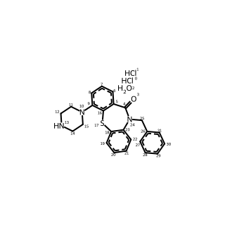 Cl.Cl.O.O=C1c2cccc(N3CCNCC3)c2Sc2ccccc2N1Cc1ccccc1